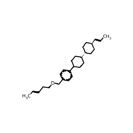 CC=CCCOCc1ccc(C2CCC([C@H]3CC[C@H](/C=C/C)CC3)CC2)cc1